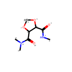 CNC(=O)C1OBOC1C(=O)N(C)C